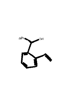 C=Cc1ccccc1C(O)CCC